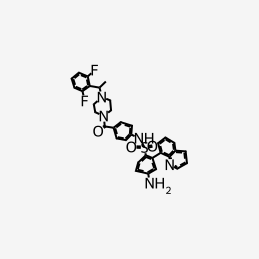 CC(c1c(F)cccc1F)N1CCN(C(=O)c2ccc(NS(=O)(=O)c3ccc(N)cc3-c3cccc4cccnc34)cc2)CC1